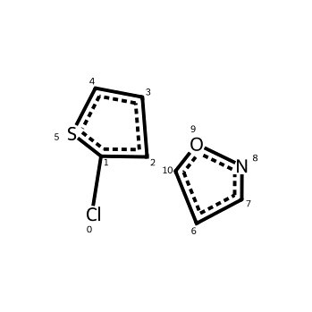 Clc1cccs1.c1cnoc1